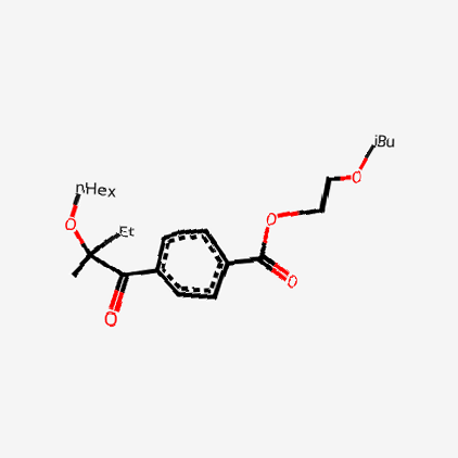 CCCCCCOC(C)(CC)C(=O)c1ccc(C(=O)OCCOC(C)CC)cc1